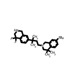 CC(C)(C)c1ccc2c(c1)CN(CCC(C)(C)c1ccc3c(c1)CNCC3(F)F)CC2(C)C